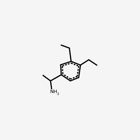 CCc1ccc(C(C)N)cc1CC